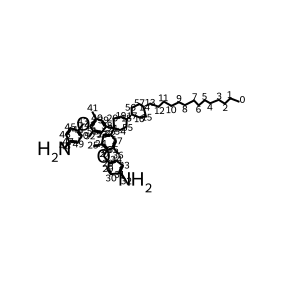 CCCCCCCCCCCCCC[C@H]1CC[C@@H](C2CCC(c3cc(C)c(Oc4ccc(N)cc4)c(C)c3)(c3cc(C)c(Oc4ccc(N)cc4)c(C)c3)CC2)CC1